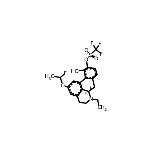 CCN1CCc2cc(OC(C)F)cc3c2[C@H]1Cc1ccc(OS(=O)(=O)C(F)(F)F)c(O)c1-3